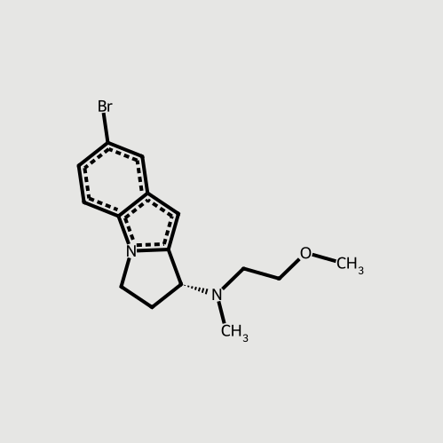 COCCN(C)[C@@H]1CCn2c1cc1cc(Br)ccc12